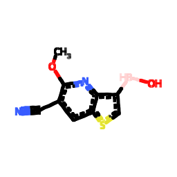 COc1nc2c(BO)csc2cc1C#N